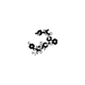 Cc1ccc(-c2nc(C)c(C(=O)N3CC[C@@H](C(=O)N4CCC(O)(Cn5cnc(Oc6ccc(F)cc6)c(N)c5=O)C(F)C4)[C@H](c4ccccc4)C3)s2)cn1